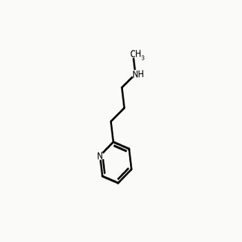 CNCCCc1ccccn1